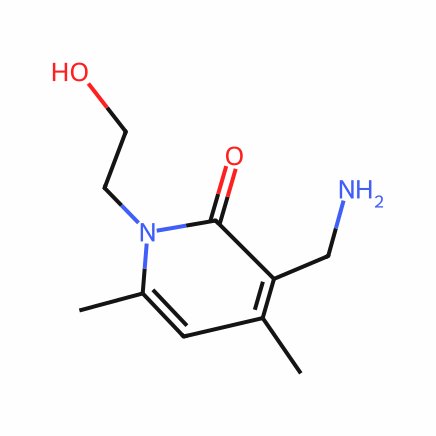 Cc1cc(C)n(CCO)c(=O)c1CN